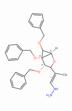 N#C/C(=C\NN)C1O[C@@H]2C(OCc3ccccc3)[C@]2(OCc2ccccc2)[C@H]1OCc1ccccc1